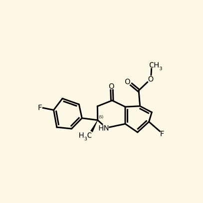 COC(=O)c1cc(F)cc2c1C(=O)C[C@@](C)(c1ccc(F)cc1)N2